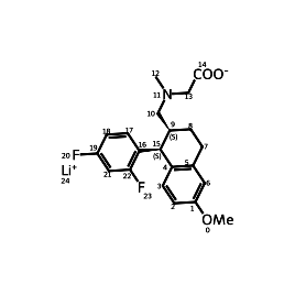 COc1ccc2c(c1)CC[C@H](CN(C)CC(=O)[O-])[C@@H]2c1ccc(F)cc1F.[Li+]